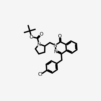 CC(C)(C)OC(=O)N1CCCC1Cn1nc(Cc2ccc(Cl)cc2)c2ccccc2c1=O